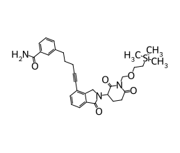 C[Si](C)(C)CCOCN1C(=O)CCC(N2Cc3c(C#CCCCc4cccc(C(N)=O)c4)cccc3C2=O)C1=O